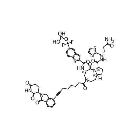 NC(=O)CC[C@H](NC(=O)[C@@H]1CC[C@@H]2CCN(C(=O)CCCCCC#Cc3cccc4c3CN(C3CCC(=O)NC3=O)C4=O)C[C@H](NC(=O)c3cc4cc(C(F)(F)OP(O)O)ccc4s3)C(=O)N21)c1nccs1